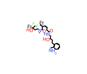 CC/C=C(\C=C/CC(=O)NCC(O)CCC1=C(CN)CC=CC=C1)C(=O)N(C)CCC(O)(CC)C(F)F